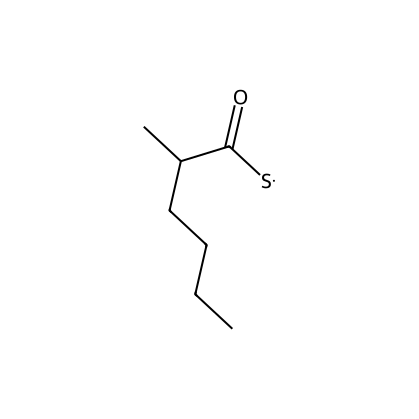 CCCCC(C)C(=O)[S]